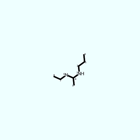 CCCNC(C)[N]CC